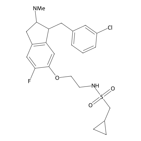 CNC1Cc2cc(F)c(OCCNS(=O)(=O)CC3CC3)cc2C1Cc1cccc(Cl)c1